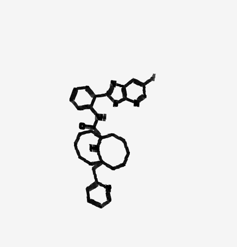 O=C(Nc1ccccc1-c1nc2cc(I)cnc2s1)C12BC(Cc3ccccn3)(CCCCC1)CCCCC2